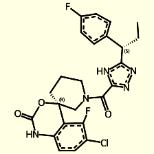 CC[C@@H](c1ccc(F)cc1)c1nnc(C(=O)N2CCC[C@@]3(C2)OC(=O)Nc2ccc(Cl)c(F)c23)[nH]1